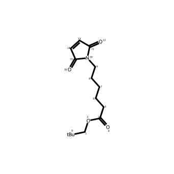 CC(C)(C)COC(=O)CCCCCN1C(=O)C=CC1=O